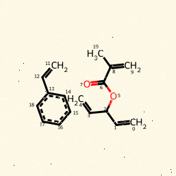 C=CC(C=C)OC(=O)C(=C)C.C=Cc1ccccc1